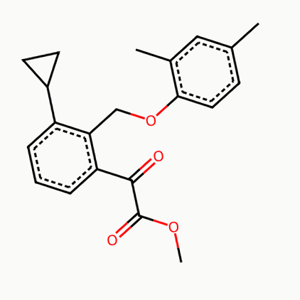 COC(=O)C(=O)c1cccc(C2CC2)c1COc1ccc(C)cc1C